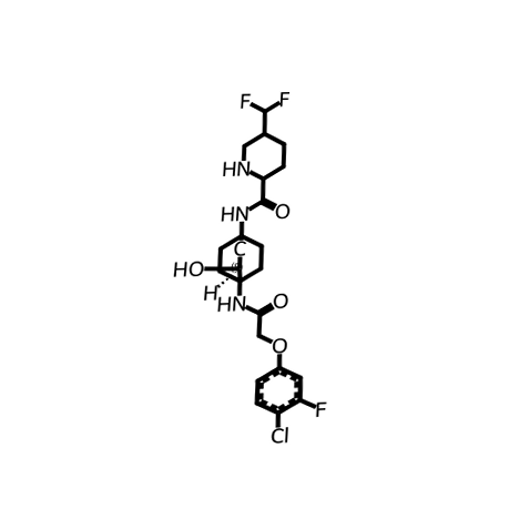 O=C(COc1ccc(Cl)c(F)c1)NC12CCC(NC(=O)C3CCC(C(F)F)CN3)(CC1)C[C@@H]2O